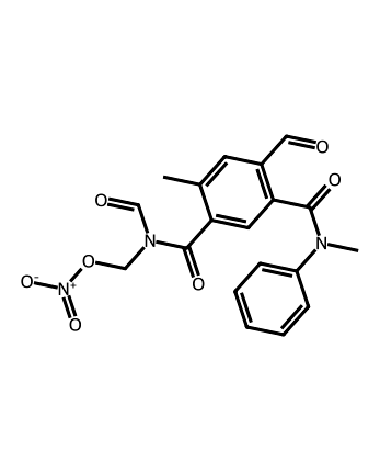 Cc1cc(C=O)c(C(=O)N(C)c2ccccc2)cc1C(=O)N(C=O)CO[N+](=O)[O-]